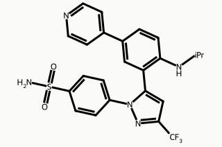 CC(C)Nc1ccc(-c2ccncc2)cc1-c1cc(C(F)(F)F)nn1-c1ccc(S(N)(=O)=O)cc1